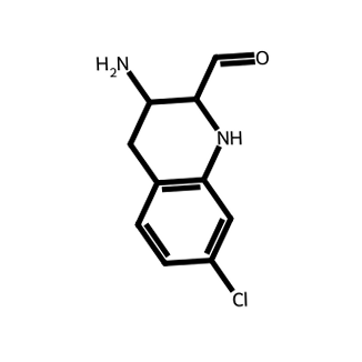 NC1Cc2ccc(Cl)cc2NC1C=O